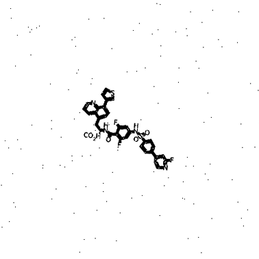 O=C(N[C@@H](Cc1ccc(-c2ccsc2)c2ncccc12)C(=O)O)c1c(F)cc(NS(=O)(=O)c2ccc(-c3ccnc(F)c3)cc2)cc1F